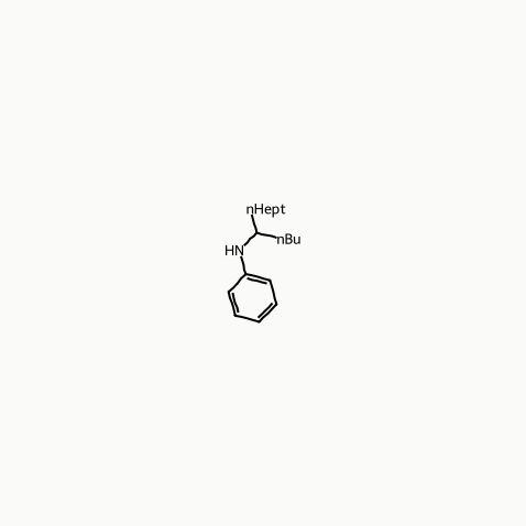 CCCCCCCC(CCCC)Nc1ccccc1